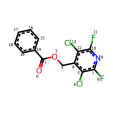 O=C(OCc1c(Cl)c(F)nc(F)c1Cl)c1ccccc1